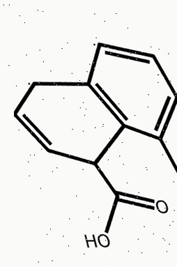 O=C(O)C1C=C[CH]c2[c]ccc(Cl)c21